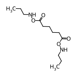 CCCNOC(=O)CCCCC(=O)ONCCC